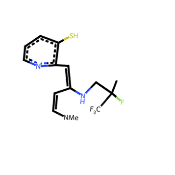 CN/C=C\C(=C/c1ncccc1S)NCC(C)(F)C(F)(F)F